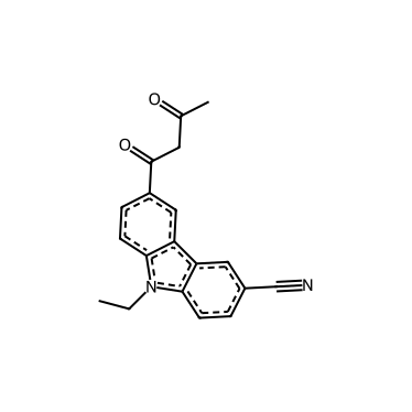 CCn1c2ccc(C#N)cc2c2cc(C(=O)CC(C)=O)ccc21